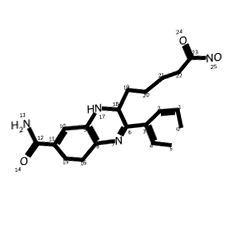 C/C=C\C(=C/C)C1=NC2=C(C=C(C(N)=O)CC2)NC1CCCCC(=O)N=O